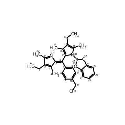 CCC1=C(C)/C(=C(\c2ccc(CCl)cc2)c2c(C)c(CC)c(C)n2B2Oc3ccccc3O2)N=C1C